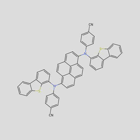 N#Cc1ccc(N(c2ccc3ccc4c(N(c5ccc(C#N)cc5)c5cccc6c5sc5ccccc56)ccc5ccc2c3c54)c2cccc3c2sc2ccccc23)cc1